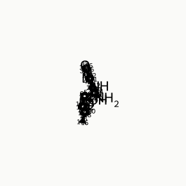 Nc1nc(-c2cccc(-n3ccc4cc(C5CC5)cc(F)c4c3=O)c2CO)c2cc(-c3ccc(N4CCOCC4)nc3)[nH]c2n1